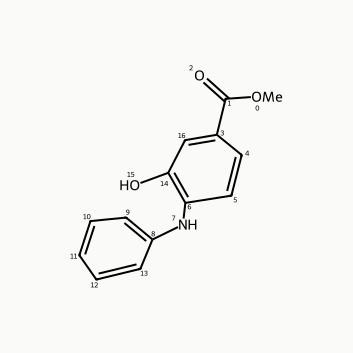 COC(=O)c1ccc(Nc2ccccc2)c(O)c1